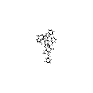 CC(C)CC(CC(O)[C@H](CC1CCCCC1)NC(=O)[C@H](Cc1cnc[nH]1)NC(=O)[C@H](Cc1ccccc1)NC(=O)OC(C)(C)C)C(=O)NCc1ccccc1